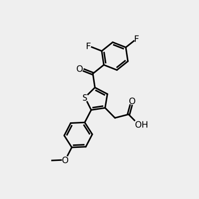 COc1ccc(-c2sc(C(=O)c3ccc(F)cc3F)cc2CC(=O)O)cc1